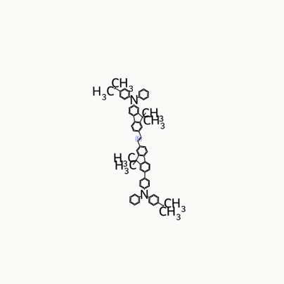 CC(C)c1ccc(N(c2ccccc2)c2ccc(-c3ccc4c(c3)C(C)(C)c3cc(/C=C/c5ccc6c(c5)C(C)(C)c5cc(N(c7ccccc7)c7ccc(C(C)C)cc7)ccc5-6)ccc3-4)cc2)cc1